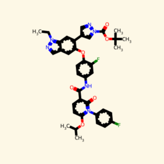 CCn1ncc2cc(Oc3ccc(NC(=O)c4ccc(OC(C)C)n(-c5ccc(F)cc5)c4=O)cc3F)c(-c3cnn(C(=O)OC(C)(C)C)c3)cc21